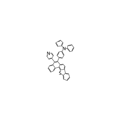 c1ccc(N(c2ccccc2)c2ccc(-c3c(-c4ccncc4)c4ccccc4c4c3ccc3c5ccccc5sc34)cc2)cc1